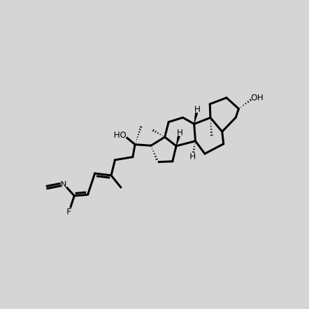 C=N/C(F)=C\C=C(/C)CC[C@@](C)(O)[C@H]1CC[C@H]2[C@@H]3CCC4C[C@@H](O)CC[C@]4(C)[C@H]3CC[C@@]21C